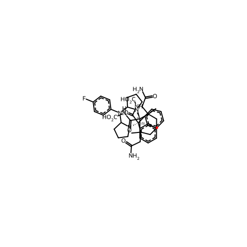 CC1(CC(N)=O)Cc2cccc(c2)[C@@]1(C(=O)NC(=O)O)N1CCCC1N(c1ccc(F)cc1)C1CCCN1[C@]1(C(=O)NC(=O)O)c2cccc(c2)CC1(C)CC(N)=O